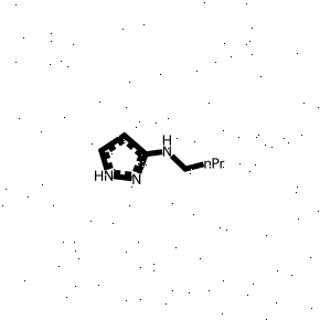 CCCCNc1cc[nH]n1